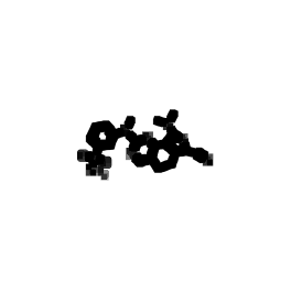 CN(C)c1sc(C#N)c2c1-c1nc(N(C)c3cccc(S(N)(=O)=O)c3)ncc1CC2